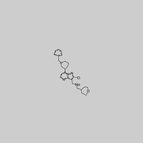 Clc1nn2c([C@@H]3CCCN(Cc4ccccc4)C3)ccnc2c1CNCC1CCOCC1